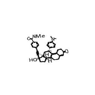 CNC(=O)c1ccc(C#C[C@]2(O)CC[C@H]3[C@@H]4CCC5=CC(=O)CCC5=C4[C@@H](c4ccc(N(C)C)cc4)C[C@@]32C)cc1